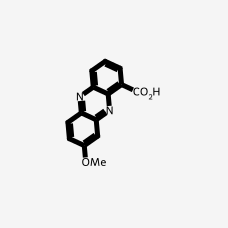 COc1ccc2nc3cccc(C(=O)O)c3nc2c1